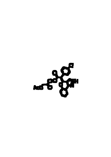 CC(=O)OCC(=O)OOC(=O)C(=C1Oc2ccccc2-c2n[nH]cc21)c1ccc(Cl)cc1